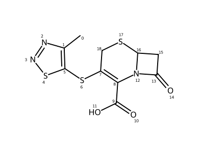 Cc1nnsc1SC1=C(C(=O)O)N2C(=O)CC2SC1